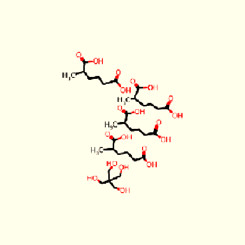 CC(CCCC(=O)O)C(=O)O.CC(CCCC(=O)O)C(=O)O.CC(CCCC(=O)O)C(=O)O.CC(CCCC(=O)O)C(=O)O.OCC(CO)(CO)CO